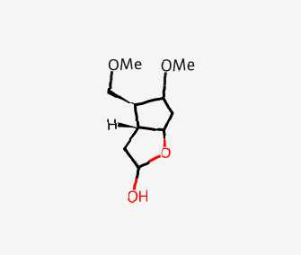 COC[C@H]1C(OC)CC2OC(O)C[C@@H]21